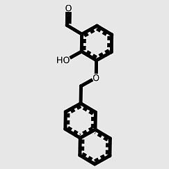 O=Cc1cccc(OCc2ccc3ccccc3c2)c1O